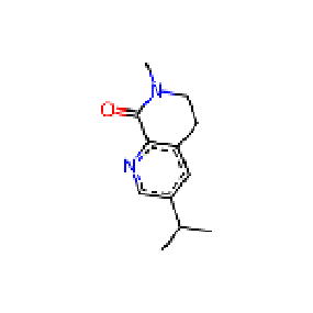 CC(C)c1cnc2c(c1)CCN(C)C2=O